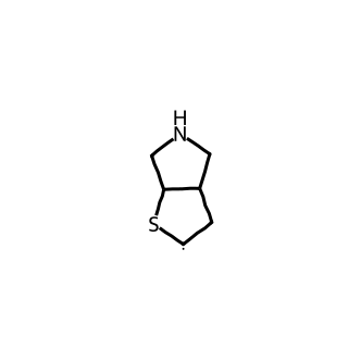 [CH]1CC2CNCC2S1